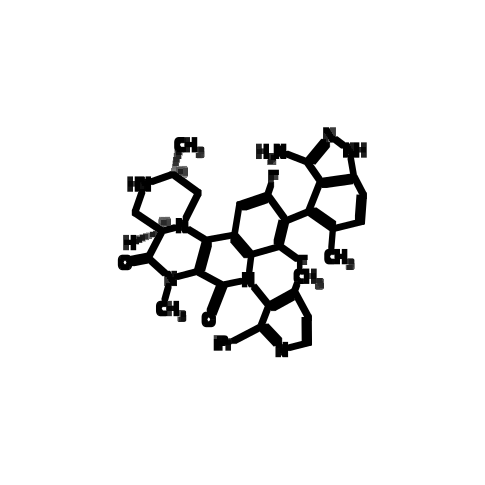 Cc1ccnc(C(C)C)c1-n1c(=O)c2c(c3cc(F)c(-c4c(C)ccc5[nH]nc(N)c45)c(F)c31)N1C[C@@H](C)NC[C@@H]1C(=O)N2C